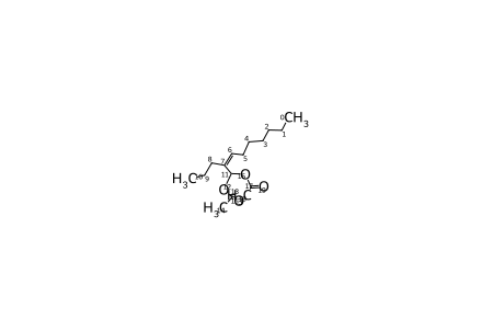 CCCCCCC=C(CCC)C(OC(C)=O)OC(C)=O